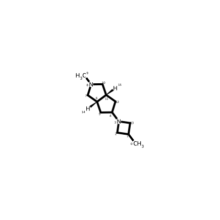 CC1CN(C2C[C@@H]3CN(C)C[C@@H]3C2)C1